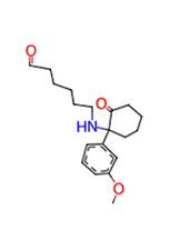 COc1cccc(C2(NCCCCCC=O)CCCCC2=O)c1